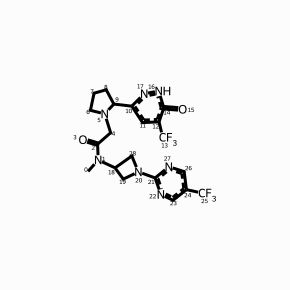 CN(C(=O)CN1CCCC1c1cc(C(F)(F)F)c(=O)[nH]n1)C1CN(c2ncc(C(F)(F)F)cn2)C1